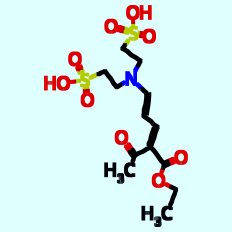 CCOC(=O)/C(=C/C=C/N(CCS(=O)(=O)O)CCS(=O)(=O)O)C(C)=O